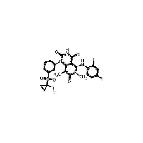 Cc1c(=O)n(C)c(Nc2ccc(I)cc2F)c2c(=O)[nH]c(=O)n(-c3cccc(S(=O)(=O)C4(CF)CC4)c3)c12